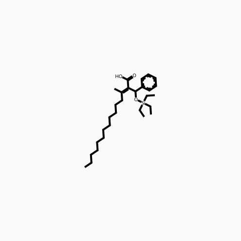 CCCCCCCCCCCCC(C)=C(C(=O)O)C(O[Si](CC)(CC)CC)c1ccccc1